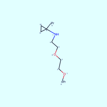 CCCOCCOCCNC1(C(C)C)CC1